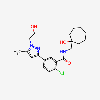 Cc1cc(-c2ccc(Cl)c(C(=O)NCC3(O)CCCCCC3)c2)nn1CCO